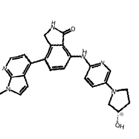 Cn1ccc2c(-c3ccc(Nc4ccc(N5CC[C@H](O)C5)cn4)c4c3CNC4=O)ccnc21